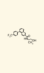 C[C@@H](CO)NC(=O)c1ccc2c(-c3ccc(C(F)(F)F)cc3)cccc2c1